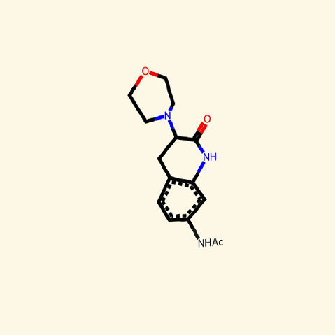 CC(=O)Nc1ccc2c(c1)NC(=O)C(N1CCOCC1)C2